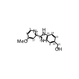 COc1ccnc(-c2nc3cc(CO)ccc3[nH]2)c1